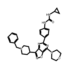 O=C(Nc1ccc(-c2nc(N3CCOCC3)c3onc(C4CCN(Cc5ccccc5)CC4)c3n2)cc1)NC1CC1